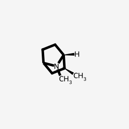 C[C@H]1CC2CC[C@H]1N2C